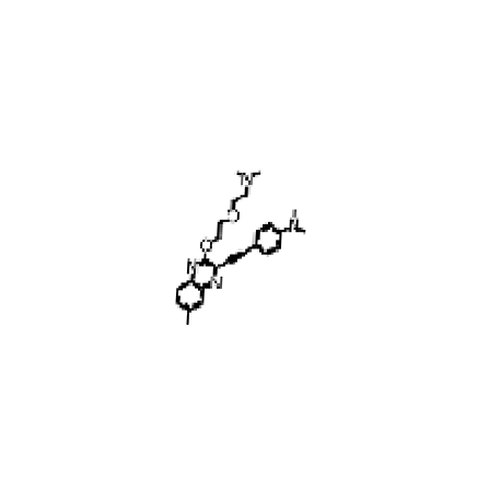 Cc1ccc2nc(OCCOCCN(C)C)c(C#Cc3ccc(N(C)C)cc3)nc2c1